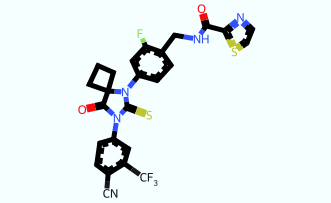 N#Cc1ccc(N2C(=O)C3(CCC3)N(c3ccc(CNC(=O)c4nccs4)c(F)c3)C2=S)cc1C(F)(F)F